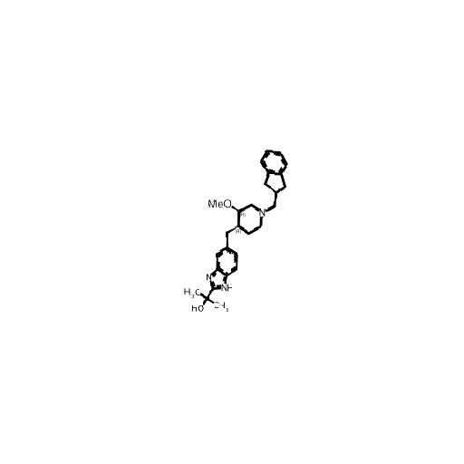 CO[C@H]1CN(CC2Cc3ccccc3C2)CC[C@H]1Cc1ccc2[nH]c(C(C)(C)O)nc2c1